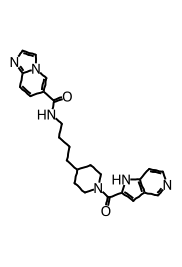 O=C(NCCCCC1CCN(C(=O)c2cc3cnccc3[nH]2)CC1)c1ccc2nccn2c1